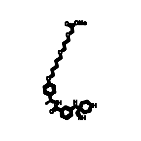 COC(=O)COCCCOCCCCCOc1ccc([C@H](C)NC(=O)c2cccc(NC3(C=N)CCNCC3)c2)cc1